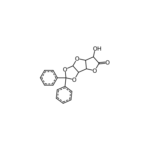 O=C1OC2C3OC(c4ccccc4)(c4ccccc4)OC3OC2C1O